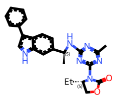 CC[C@H]1COC(=O)N1c1nc(C)nc(N[C@@H](C)c2ccc3c(-c4ccccc4)c[nH]c3c2)n1